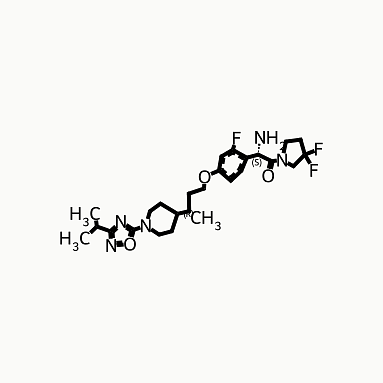 CC(C)c1noc(N2CCC([C@H](C)CCOc3ccc([C@H](N)C(=O)N4CCC(F)(F)C4)c(F)c3)CC2)n1